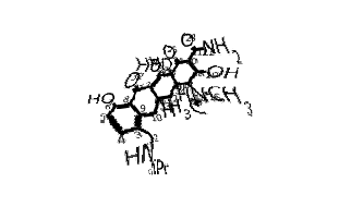 CC(C)NCc1ccc(O)c2c1C[C@H]1C[C@H]3[C@H](N(C)C)C(O)C(C(N)=O)C(=O)[C@@]3(O)C(O)=C1C2=O